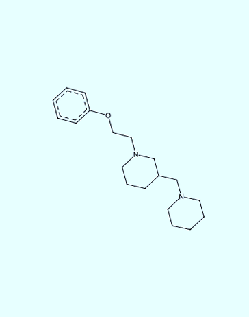 c1ccc(OCCN2CCCC(CN3CCCCC3)C2)cc1